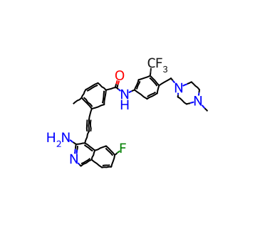 Cc1ccc(C(=O)Nc2ccc(CN3CCN(C)CC3)c(C(F)(F)F)c2)cc1C#Cc1c(N)ncc2ccc(F)cc12